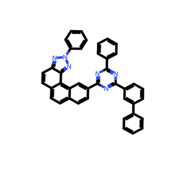 c1ccc(-c2cccc(-c3nc(-c4ccccc4)nc(-c4ccc5ccc6ccc7nn(-c8ccccc8)nc7c6c5c4)n3)c2)cc1